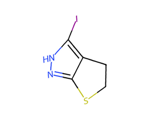 Ic1[nH]nc2c1CCS2